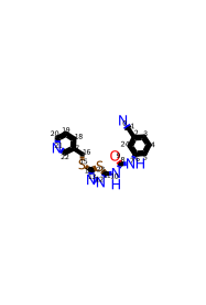 N#Cc1cccc(NC(=O)Nc2nnc(SCc3cccnc3)s2)c1